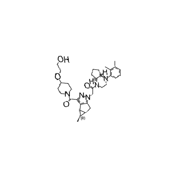 Cc1cccc(N2CCN(C(=O)Cn3nc(C(=O)N4CCC(OCCO)CC4)c4c3CC3C4[C@@H]3C)[C@H]3CCC[C@@H]32)c1C